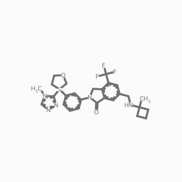 Cn1cnnc1S1(c2cccc(N3Cc4c(cc(CNC5(C)CCC5)cc4C(F)(F)F)C3=O)c2)CCOC1